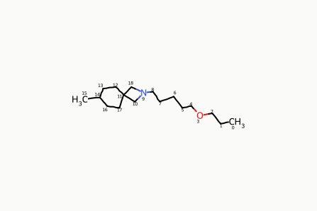 CCCOCCCCCN1CC2(CCC(C)CC2)C1